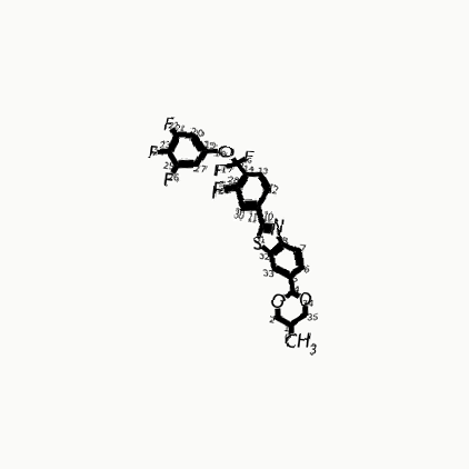 CC1COC(c2ccc3nc(-c4ccc(C(F)(F)Oc5cc(F)c(F)c(F)c5)c(F)c4)sc3c2)OC1